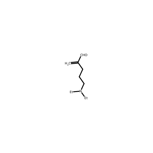 C=C([C]=O)CCCN(CC)CC